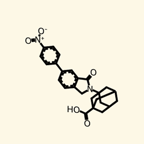 O=C1c2cc(-c3ccc([N+](=O)[O-])cc3)ccc2CN1C12CC3CC(CC(C(=O)O)(C3)C1)C2